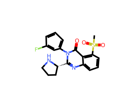 CS(=O)(=O)c1cccc2nc([C@@H]3CCCN3)n(-c3cccc(F)c3)c(=O)c12